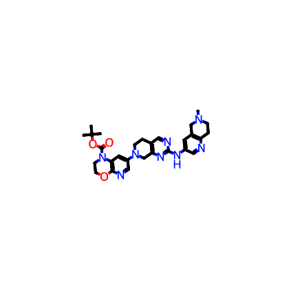 CN1CCc2ncc(Nc3ncc4c(n3)CN(c3cnc5c(c3)N(C(=O)OC(C)(C)C)CCO5)CC4)cc2C1